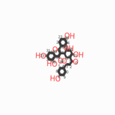 O=C1C=C(c2ccc(O)cc2)OC2C1=C(O)C=C(O)C2c1c(-c2ccc(O)cc2)oc2cc(O)cc(O)c2c1=O